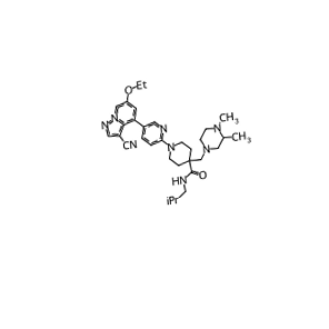 CCOc1cc(-c2ccc(N3CCC(CN4CCN(C)C(C)C4)(C(=O)NCC(C)C)CC3)nc2)c2c(C#N)cnn2c1